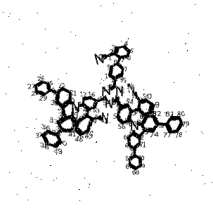 N#Cc1ccccc1-c1ccc(-c2nc(-c3ccc(-n4c5ccc(-c6ccccc6)cc5c5cc(-c6ccccc6)ccc54)c(-c4ccccc4C#N)c3)nc(-c3ccc(-n4c5ccc(-c6ccccc6)cc5c5cc(-c6ccccc6)ccc54)c(-c4ccccc4C#N)c3)n2)cc1